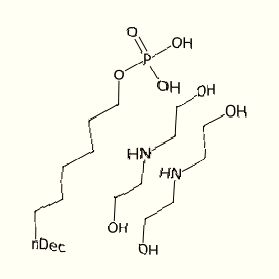 CCCCCCCCCCCCCCCCOP(=O)(O)O.OCCNCCO.OCCNCCO